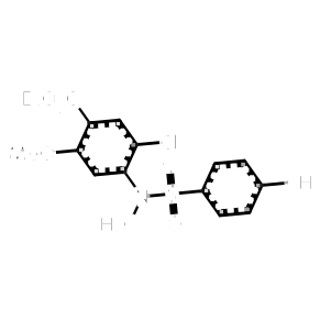 CCOC(=O)c1cc(Cl)c(N(C)S(=O)(=O)c2ccc(C)cc2)cc1OC